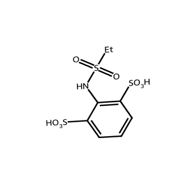 CCS(=O)(=O)Nc1c(S(=O)(=O)O)cccc1S(=O)(=O)O